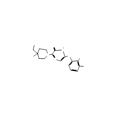 Cn1c(Oc2cccc(Cl)c2Cl)cnc(N2CCC(C)(CN)CC2)c1=O